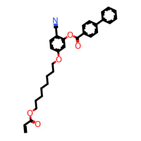 C=CC(=O)OCCCCCCCCOc1ccc(C#N)c(OC(=O)c2ccc(-c3ccccc3)cc2)c1